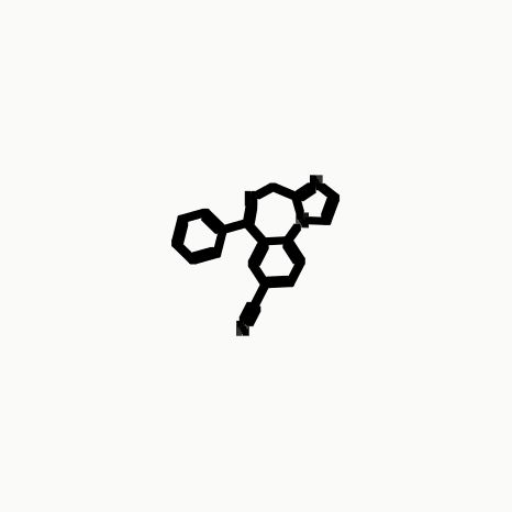 N#Cc1ccc2c(c1)C(c1ccccc1)=NCc1nccn1-2